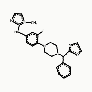 Cn1ccnc1Nc1ccc(N2CCN(C(c3ccccc3)c3ncco3)CC2)c(F)c1